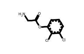 NCC(=O)Oc1cccc(Cl)c1Cl